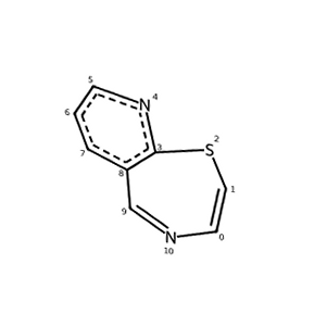 C1=CSc2ncccc2C=N1